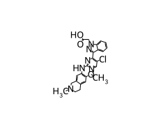 COc1cc2c(cc1Nc1ncc(Cl)c(-c3nn(CC(=O)O)c4ccccc34)n1)CN(C)CC2